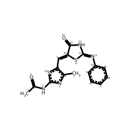 CC(=O)Nc1nc(C)c(/C=C2\S/C(=N\c3ccccc3)NC2=O)s1